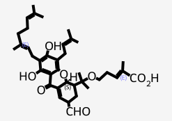 CC(C)=CCC/C(C)=C/Cc1c(O)c(CC=C(C)C)c2c(c1O)C(=O)C1=CC(C=O)CC(C(C)(C)OCC/C=C(\C)C(=O)O)[C@@H]1O2